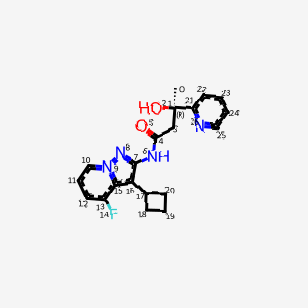 C[C@@](O)(CC(=O)Nc1nn2cccc(F)c2c1C1CCC1)c1ccccn1